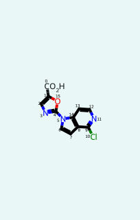 O=C(O)c1cnc(-n2ccc3c(Cl)nccc32)o1